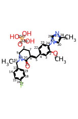 COc1cc(C=C2CCCN([C@@H](C)c3ccc(F)cc3)C2=O)ccc1-n1cnc(C)c1.O=P(O)(O)O